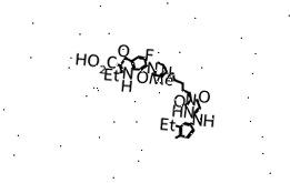 CCc1cc(Nc2cc(=O)n(CCCCCN3CCN(c4c(F)cc5c(=O)c(C(=O)O)c(CC)[nH]c5c4OC)CC3)c(=O)[nH]2)ccc1C